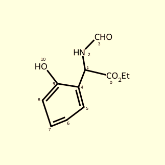 CCOC(=O)C(NC=O)c1ccccc1O